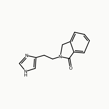 O=C1c2ccccc2CN1CCc1c[nH]cn1